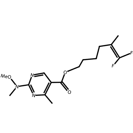 CON(C)c1ncc(C(=O)OCCCCC(C)=C(F)F)c(C)n1